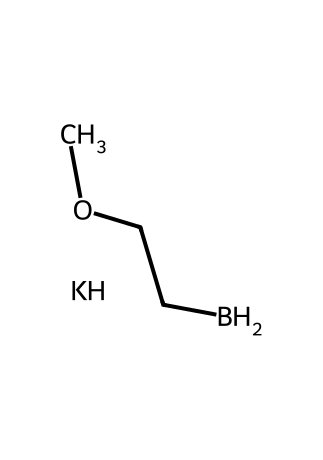 BCCOC.[KH]